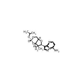 CC(C)O[P@]1(=O)OC[C@H]2O[C@@H](c3cnn4c(N)ccnc34)[C@](C)(N)[C@@H]2O1